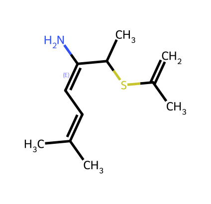 C=C(C)SC(C)/C(N)=C\C=C(C)C